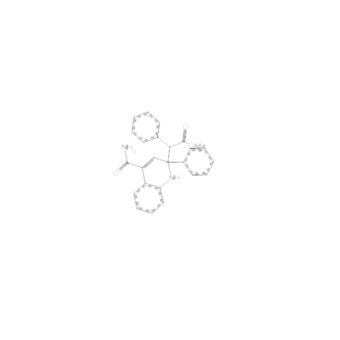 COC(=O)C(c1ccccc1)C1(c2ccccc2)C=C(C(N)=O)c2ccccc2N1